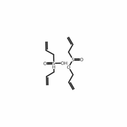 C=CCOS(=O)CC=C.C=CC[SH](=O)(O)CC=C